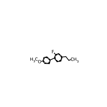 CCCc1ccc(-c2ccc(OC)cc2)c(F)c1